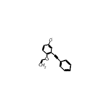 C=COc1ccc(Cl)cc1C#Cc1ccccc1